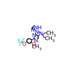 CCC(CC)N1CN(c2ncc[nH]2)c2nc(-c3ccc(OC(F)(F)F)cc3OC)ncc21